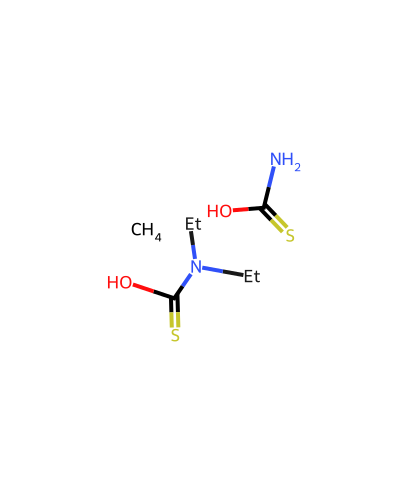 C.CCN(CC)C(O)=S.NC(O)=S